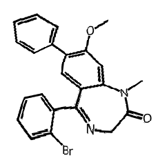 COc1cc2c(cc1-c1ccccc1)C(c1ccccc1Br)=NCC(=O)N2C